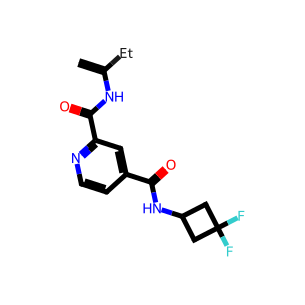 C=C(CC)NC(=O)c1cc(C(=O)NC2CC(F)(F)C2)ccn1